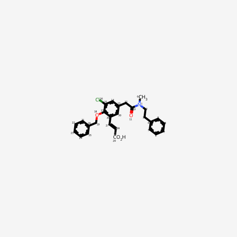 CN(CCc1ccccc1)C(=O)Cc1cc(Cl)c(OCc2ccccc2)c(C=CC(=O)O)c1